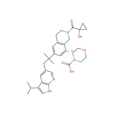 CC(C)c1c[nH]c2ncc(CC(C)(C)c3cc4c(c([C@@H]5COCCN5C(=O)O)c3)CN(C(=O)C3(O)CC3)CC4)cc12